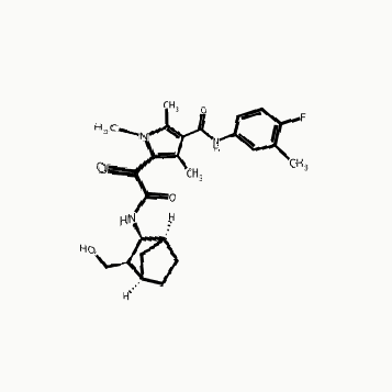 Cc1cc(NC(=O)c2c(C)c(C(=O)C(=O)N[C@H]3[C@H]4CC[C@H](C4)[C@H]3CO)n(C)c2C)ccc1F